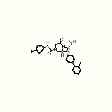 Cc1ccccc1-c1ccc([C@H]2[C@@H](CO)N3C(=O)CN(C(=O)Nc4ccc(F)cc4)C[C@H]23)cc1